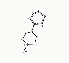 CC(=O)N1CCN(c2cnccn2)CC1